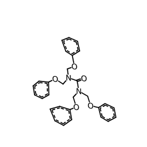 O=C(N(COc1ccccc1)COc1ccccc1)N(COc1ccccc1)COc1ccccc1